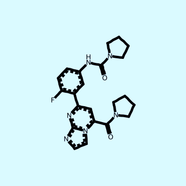 O=C(Nc1ccc(F)c(-c2cc(C(=O)N3CCCC3)n3ccnc3n2)c1)N1CCCC1